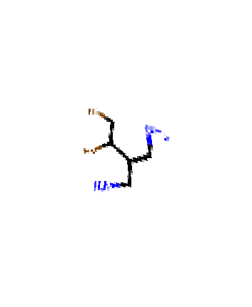 NCC(CN)C(S)CS